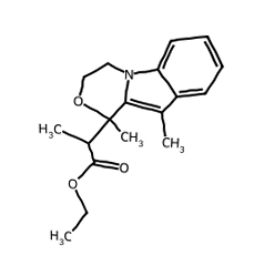 CCOC(=O)C(C)C1(C)OCCn2c1c(C)c1ccccc12